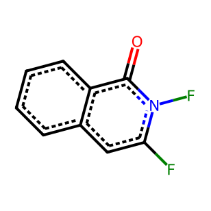 O=c1c2ccccc2cc(F)n1F